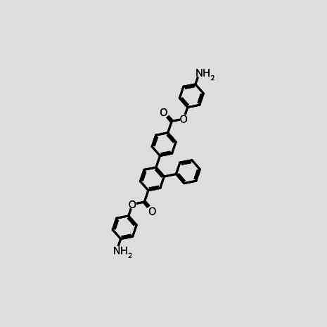 Nc1ccc(OC(=O)c2ccc(-c3ccc(C(=O)Oc4ccc(N)cc4)cc3-c3ccccc3)cc2)cc1